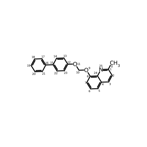 Cc1ccc2cccc(OCOc3ccc(-c4ccccc4)cc3)c2n1